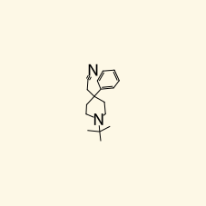 CC(C)(C)N1CCC(CC#N)(c2ccccc2)CC1